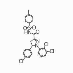 Cc1ccc(S(=O)(=O)NC(=O)C2=NN(c3cccc(Cl)c3Cl)C(c3ccc(Cl)cc3)C2)cc1